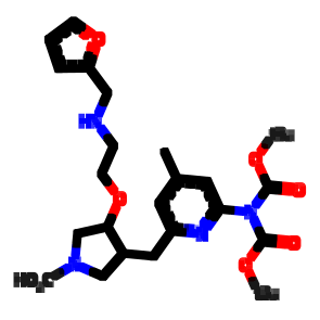 Cc1cc(CC2CN(C(=O)O)CC2OCCNCc2ccco2)nc(N(C(=O)OC(C)(C)C)C(=O)OC(C)(C)C)c1